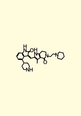 Cc1c(C=C2C(=O)Nc3cccc(C4CCNCC4)c32)[nH]c2c1C(=O)N(CCN1CCCCC1)CC2